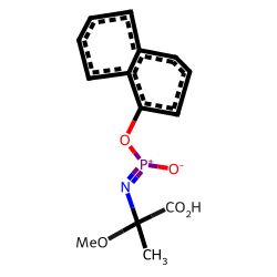 COC(C)(N=[P+]([O-])Oc1cccc2ccccc12)C(=O)O